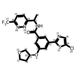 CC(NC(=O)c1cc(O[C@H]2CCOC2)cc(-c2ncc(Cl)s2)c1)c1ccc(C(F)(F)F)nn1